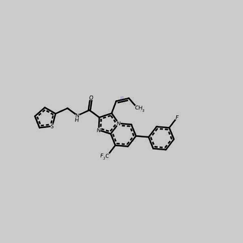 C/C=C\c1c(C(=O)NCc2cccs2)nc2c(C(F)(F)F)cc(-c3cccc(F)c3)cn12